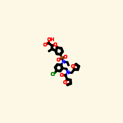 CCN(c1ccc(Cl)cc1CN(Cc1ccco1)C(=O)c1ccco1)S(=O)(=O)c1ccc2oc(C(=O)O)c(C)c2c1